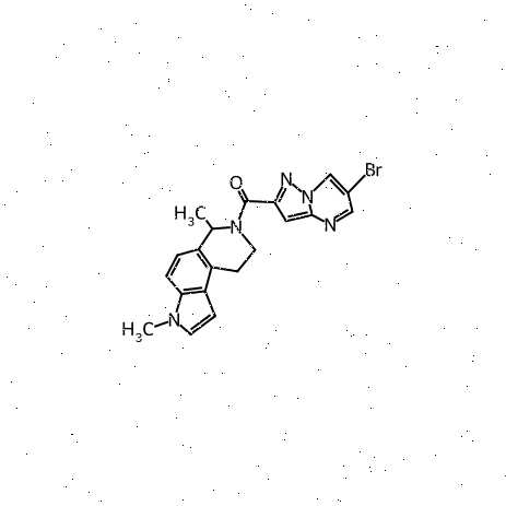 CC1c2ccc3c(ccn3C)c2CCN1C(=O)c1cc2ncc(Br)cn2n1